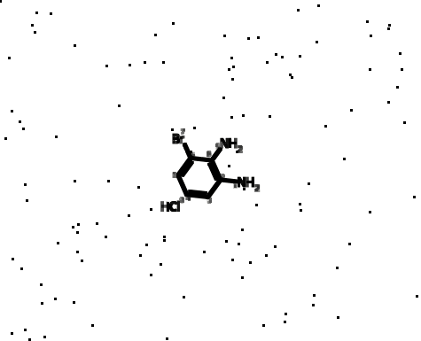 Cl.Nc1cccc(Br)c1N